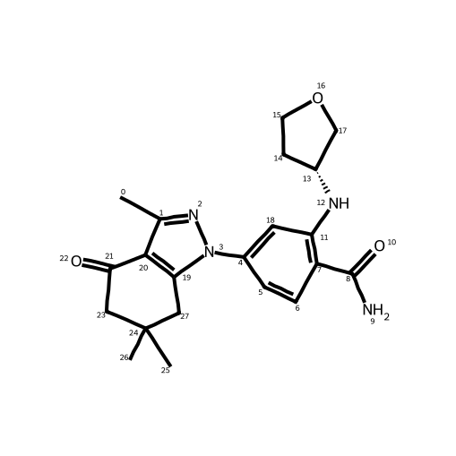 Cc1nn(-c2ccc(C(N)=O)c(N[C@@H]3CCOC3)c2)c2c1C(=O)CC(C)(C)C2